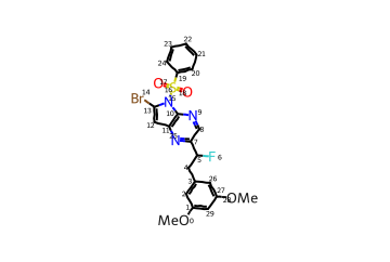 COc1cc(CC(F)c2cnc3c(cc(Br)n3S(=O)(=O)c3ccccc3)n2)cc(OC)c1